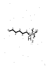 CCCCCC[SiH2][Si](C)(C)C